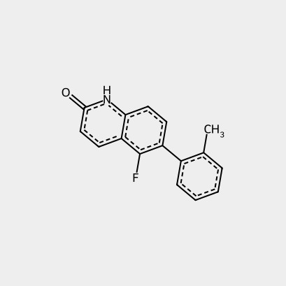 Cc1ccccc1-c1ccc2[nH]c(=O)ccc2c1F